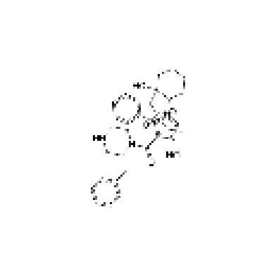 CCS(=O)(=O)CC1(O)CCCCC1n1cnc(C(=O)N2CCNC[C@H]2Cc2ccccc2)c1-c1ccccc1.Cl